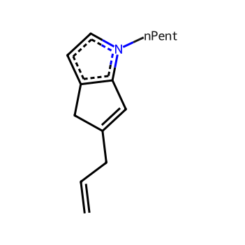 C=CCC1=Cc2c(ccn2CCCCC)C1